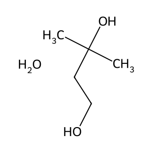 CC(C)(O)CCO.O